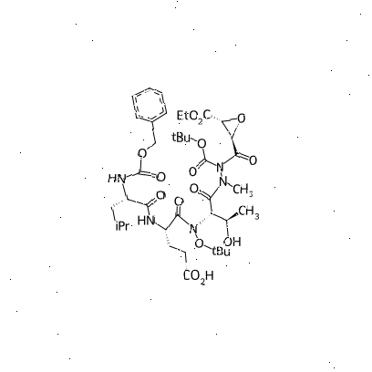 CCOC(=O)[C@@H]1O[C@H]1C(=O)N(C(=O)OC(C)(C)C)N(C)C(=O)[C@H]([C@@H](C)O)N(OC(C)(C)C)C(=O)[C@H](CCC(=O)O)NC(=O)[C@H](CC(C)C)NC(=O)OCc1ccccc1